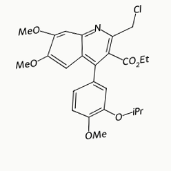 CCOC(=O)c1c(CCl)nc2cc(OC)c(OC)cc2c1-c1ccc(OC)c(OC(C)C)c1